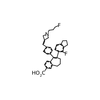 O=C(O)c1ccc2c(c1)CCCC(c1ccc3c(c1F)CCC3)=C2c1ccc(C=C2CN(CCCF)C2)cc1